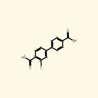 O=C(O)c1ccc(-c2ccc(C(=O)O)c(F)c2)cc1